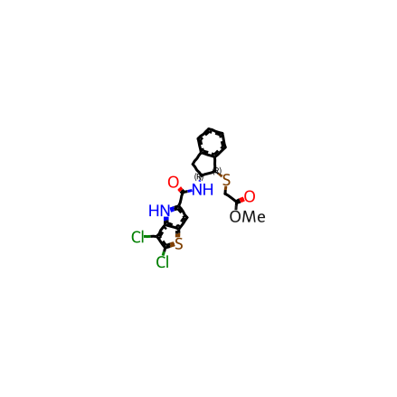 COC(=O)CS[C@@H]1c2ccccc2C[C@H]1NC(=O)c1cc2sc(Cl)c(Cl)c2[nH]1